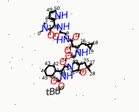 CN(C)C(=O)[C@@H](NC(=O)CNC(=O)C(=O)C(CC1CC1)NC(=O)[C@@H]1C2CC(C)(C)OC2CN1C(=O)[C@@H](NC(=O)OC(C)(C)C)C1CCCCC1)c1ccc[nH]1